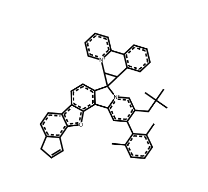 Cc1cccc(C)c1-c1cc2[n+](cc1CC(C)(C)C)C1(c3ccc4c(oc5c6c(ccc54)CC=C6)c3-2)C2c3ccccc3-c3cccc[n+]3C21